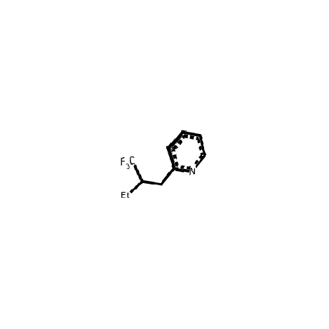 CCC(Cc1ccccn1)C(F)(F)F